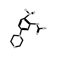 O=C(O)Nc1cc(N2CCOCC2)ccc1[N+](=O)[O-]